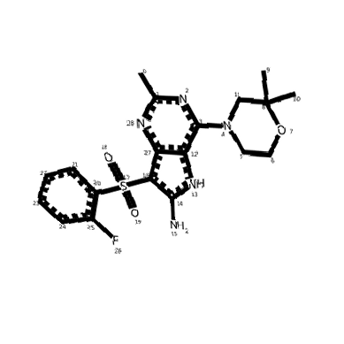 Cc1nc(N2CCOC(C)(C)C2)c2[nH]c(N)c(S(=O)(=O)c3ccccc3F)c2n1